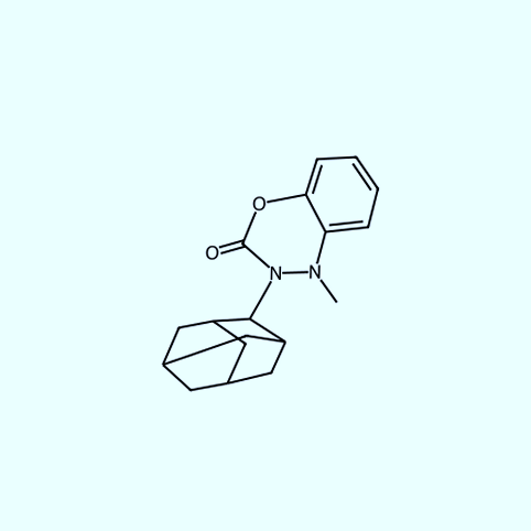 CN1c2ccccc2OC(=O)N1C1C2CC3CC(C2)CC1C3